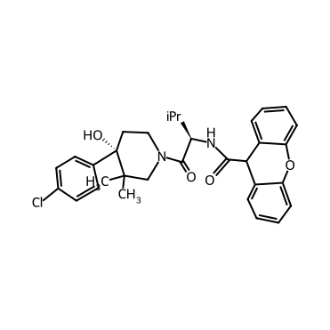 CC(C)[C@@H](NC(=O)C1c2ccccc2Oc2ccccc21)C(=O)N1CC[C@](O)(c2ccc(Cl)cc2)C(C)(C)C1